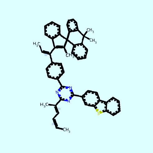 C/C=C\C=C(/C)c1nc(-c2ccc(/C(=C/C)C3=C(C)C4(c5ccccc53)c3ccccc3C(C)(C)c3ccccc34)cc2)nc(-c2ccc3c(c2)sc2ccccc23)n1